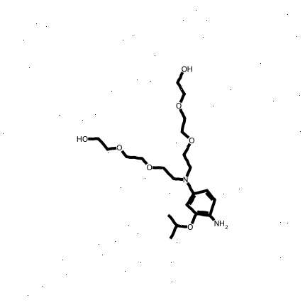 CC(C)Oc1cc(N(CCOCCOCCO)CCOCCOCCO)ccc1N